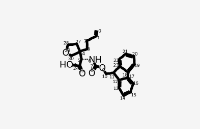 C=CCCC1([C@H](NC(=O)OCC2c3ccccc3-c3ccccc32)C(=O)O)CCOC1